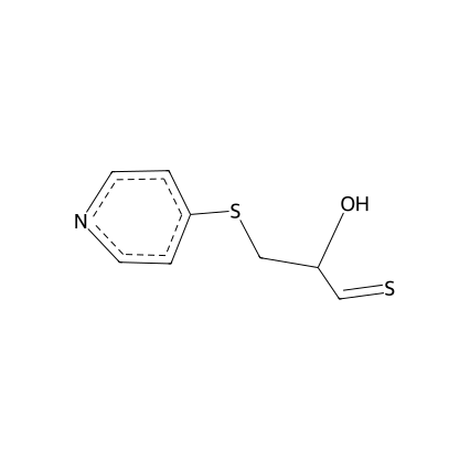 OC(C=S)CSc1ccncc1